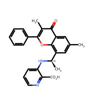 Cc1cc([C@@H](C)Nc2cccnc2C(=O)O)c2oc(-c3ccccc3)c(C)c(=O)c2c1